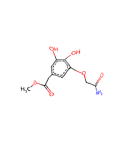 COC(=O)c1cc(O)c(O)c(OCC(N)=O)c1